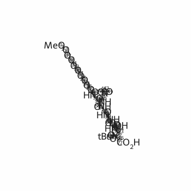 COCCOCCOCCOCCOCCOCCOCCOCCOCCOCC(=O)NCCCC[C@H](NC(=O)CCCN1C(=O)C=CC1=O)C(=O)NCCCC(=O)NCCNC(=O)OCC(=O)Nc1cc(C[C@@H](C[C@H](C)C(=O)O)NC(=O)OC(C)(C)C)ccc1O